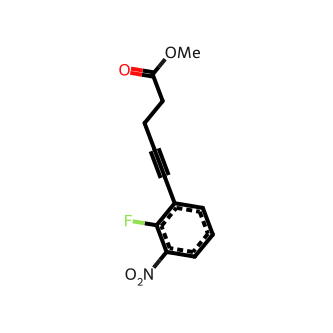 COC(=O)CCC#Cc1cccc([N+](=O)[O-])c1F